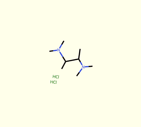 CC(C(C)N(C)C)N(C)C.Cl.Cl